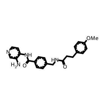 COc1ccc(CCC(=O)NCc2ccc(C(=O)Nc3ccncc3N)cc2)cc1